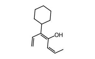 C=C/C(=C(O)\C=C/C)C1CCCCC1